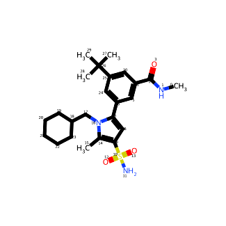 CNC(=O)c1cc(-c2cc(S(N)(=O)=O)c(C)n2CC2CCCCC2)cc(C(C)(C)C)c1